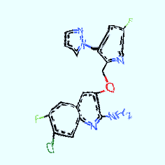 Nc1nc2cc(Cl)c(F)cc2cc1OCc1ncc(F)cc1-n1cccn1